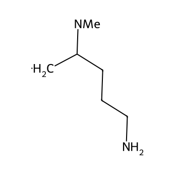 [CH2]C(CCCN)NC